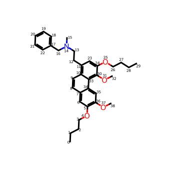 CCCCOc1cc2ccc3c(CCN(C)Cc4ccccc4)cc(OCCCC)c(OC)c3c2cc1OC